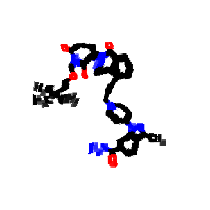 Cc1nn(C2CCN(CC#Cc3cccc4c3CN(C3CCC(=O)N(COCC[Si](C)(C)C)C3=O)C4=O)CC2)c2cc(C(N)=O)ccc12